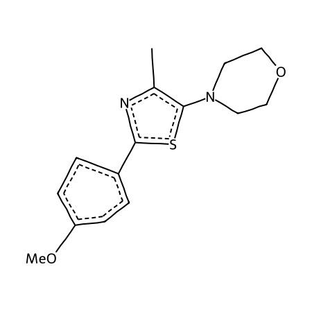 COc1ccc(-c2nc(C)c(N3CCOCC3)s2)cc1